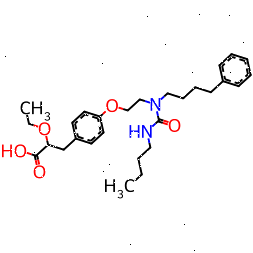 CCCCNC(=O)N(CCCCc1ccccc1)CCOc1ccc(CC(OCC)C(=O)O)cc1